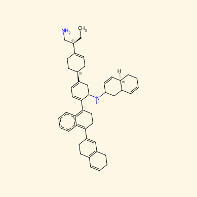 CC[C@H](CN)C1=CC[C@@H](C2=CC=C(C3=c4ccccc4=C(C4=CC5=C(C=CCC5)CC4)CC3)C(NC3C=C[C@H]4CCC=CC4C3)C2)CC1